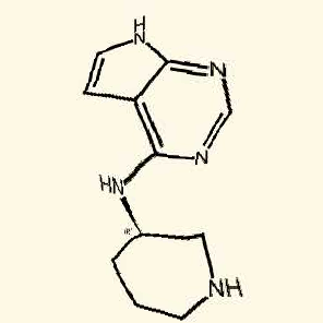 c1nc(N[C@@H]2CCCNC2)c2cc[nH]c2n1